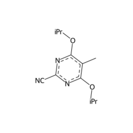 Cc1c(OC(C)C)nc(C#N)nc1OC(C)C